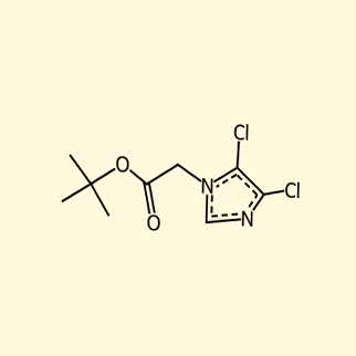 CC(C)(C)OC(=O)Cn1cnc(Cl)c1Cl